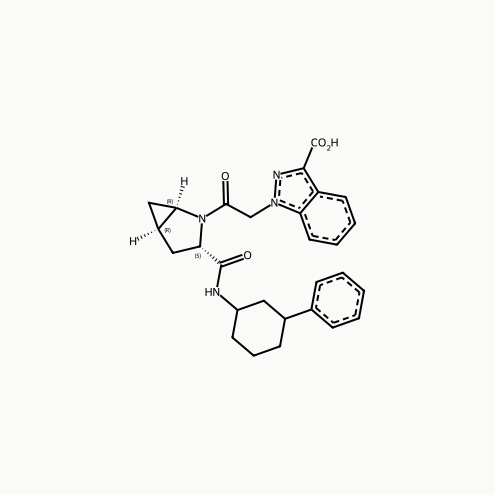 O=C(O)c1nn(CC(=O)N2[C@@H]3C[C@@H]3C[C@H]2C(=O)NC2CCCC(c3ccccc3)C2)c2ccccc12